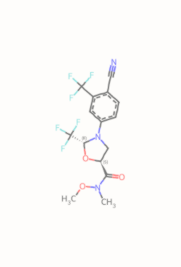 CON(C)C(=O)[C@@H]1CN(c2ccc(C#N)c(C(F)(F)F)c2)[C@@H](C(F)(F)F)O1